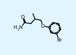 CC(COc1cccc(Br)c1)CC(N)=O